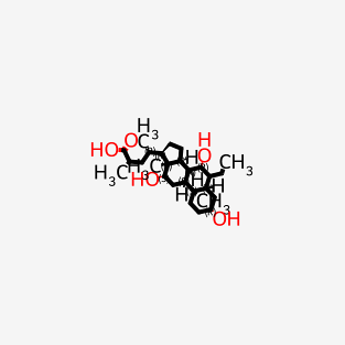 CCC1[C@@H](O)[C@@H]2[C@H](C[C@H](O)[C@]3(C)[C@@H]([C@H](C)CC(C)C(=O)O)CC[C@@H]23)[C@@]2(C)CC[C@@H](O)C[C@@H]12